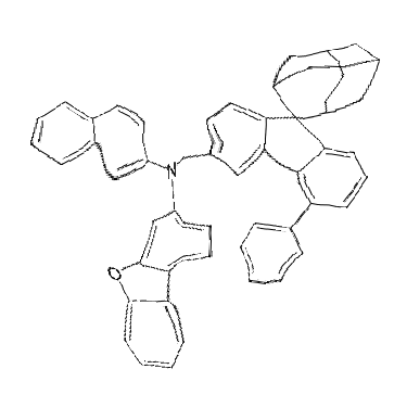 c1ccc(-c2cccc3c2-c2cc(N(c4ccc5ccccc5c4)c4ccc5c(c4)oc4ccccc45)ccc2C32C3CC4CC(C3)CC2C4)cc1